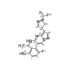 CCCCc1ccc(F)cc1C(C)Nc1ccn2ncc(C3C=NN(C(F)F)C3)c2n1